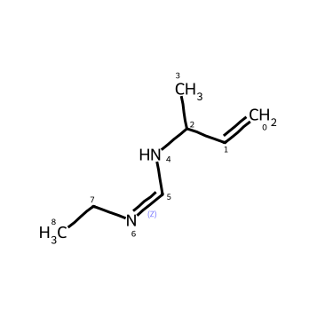 C=CC(C)N/C=N\CC